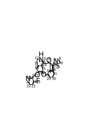 C[C@]1(CC(=O)Nc2nccs2)NCCc2cc(OCc3ncccc3F)c(Oc3cccc(F)c3)cc21